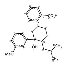 COc1cccc(C2(O)CCCCC2CN(C)C)c1.O=C(O)c1ccccc1